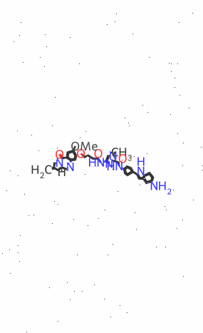 C=C1C[C@H]2C=Nc3cc(OCCCC(=O)Nc4cn(C)c(C(=O)Nc5ccc(-c6cc7cc(N)ccc7[nH]6)cc5)n4)c(OC)cc3C(=O)N2C1